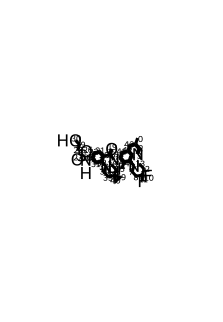 Cc1cnc2c(N3CCC(F)(F)CC3)c(F)c(NC(=O)c3ccc(NS(=O)(=O)CCO)cc3N3CCC4(CC3)CC4)cc2c1